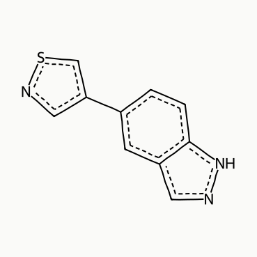 c1cc2[nH]ncc2cc1-c1cnsc1